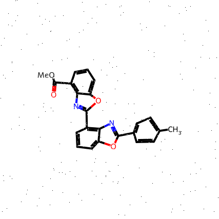 COC(=O)c1cccc2oc(-c3cccc4oc(-c5ccc(C)cc5)nc34)nc12